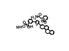 COC(=O)N(O)c1cccc(-c2ccc(C3=Cc4ccc5c(c4CC3)CCc3ccccc3-5)s2)c1.NC(=O)CC1C=CC=CS1(=O)=O